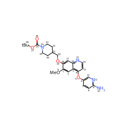 COc1cc2c(Oc3ccc(N)nc3)ccnc2cc1OCC1CCN(C(=O)OC(C)(C)C)CC1